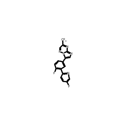 Fc1ccc(-c2cc(-c3cnc4nc(C(F)(F)F)cnn34)ccc2F)nc1